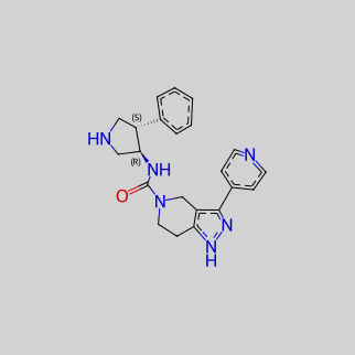 O=C(N[C@H]1CNC[C@@H]1c1ccccc1)N1CCc2[nH]nc(-c3ccncc3)c2C1